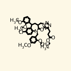 CCOC(=O)CCc1nnn(CC2CC(c3cccc(OC)c3OC)c3cc(Cl)ccc3N(Cc3ccc(OC)cc3OC)C2=O)n1